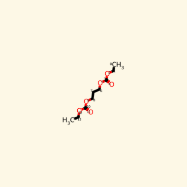 CCOC(=O)OCCCOC(=O)OCC